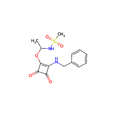 CC(NS(C)(=O)=O)Oc1c(NCc2ccccc2)c(=O)c1=O